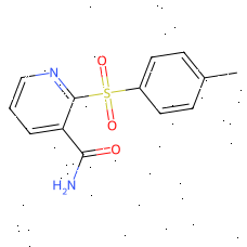 Cc1ccc(S(=O)(=O)c2ncccc2C(N)=O)cc1